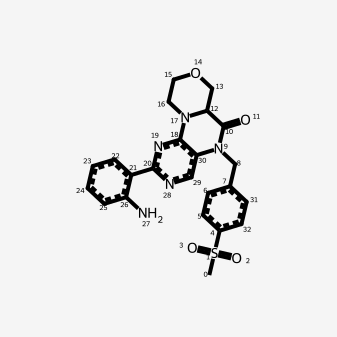 CS(=O)(=O)c1ccc(CN2C(=O)C3COCCN3c3nc(-c4ccccc4N)ncc32)cc1